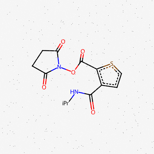 CC(C)NC(=O)c1ccsc1C(=O)ON1C(=O)CCC1=O